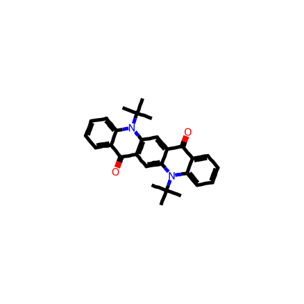 CC(C)(C)n1c2ccccc2c(=O)c2cc3c(cc21)c(=O)c1ccccc1n3C(C)(C)C